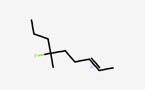 C/C=C/CCC(C)(F)CCC